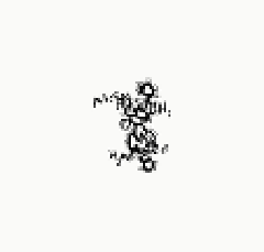 CSc1nccc(CC(C(=O)C(Cc2ccnc(SC)n2)c2ccc(CN)c(OCc3ccccc3)c2)c2ccc(CN)c(OCc3ccccc3)c2)n1